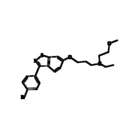 CCN(CCCOc1ccc2c(-c3ccc(Br)cc3)nsc2c1)CCOC